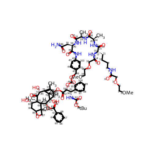 COCCOCC(=O)NCCCC[C@H](NC(=O)COCCOC)C(=O)N[C@H](C)C(=O)N[C@H](C)C(=O)N[C@H](CC(N)=O)C(=O)Nc1ccc(COC(=O)O[C@@H](C(=O)O[C@H]2C[C@@]3(O)[C@@H](OC(=O)c4ccccc4)[C@H]4[C@](C)(C(=O)[C@H](O)C(=C2C)C3(C)C)[C@@H](O)CC2OC[C@]24OC(C)=O)[C@@H](NC(=O)OC(C)(C)C)c2ccccc2)cc1